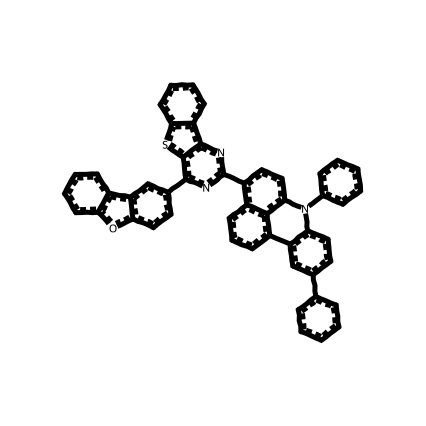 c1ccc(-c2ccc3c(c2)-c2cccc4c(-c5nc(-c6ccc7oc8ccccc8c7c6)c6sc7ccccc7c6n5)ccc(c24)N3c2ccccc2)cc1